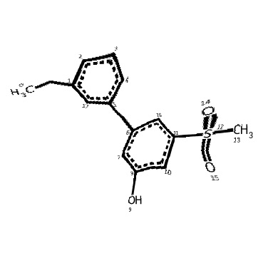 Cc1cccc(-c2cc(O)cc(S(C)(=O)=O)c2)c1